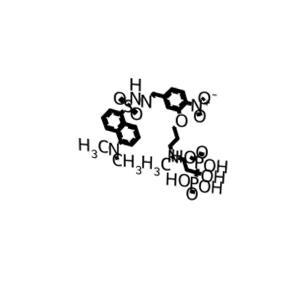 CN(CCCOc1cc(/C=N/NS(=O)(=O)c2cccc3c(N(C)C)cccc23)ccc1[N+](=O)[O-])CCC(O)(P(=O)(O)O)P(=O)(O)O